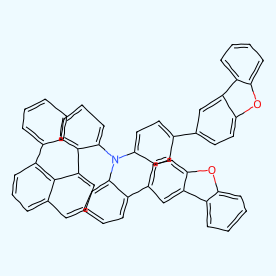 c1ccc(-c2cccc3cccc(-c4ccccc4N(c4ccc(-c5ccc6oc7ccccc7c6c5)cc4)c4ccccc4-c4ccc5oc6ccccc6c5c4)c23)cc1